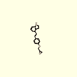 C(=C\c1cccc2[nH]ccc12)/c1ccc(OCC2CO2)cc1